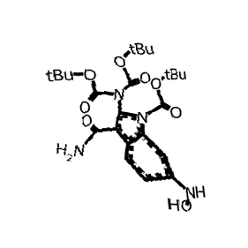 CC(C)(C)OC(=O)N(C(=O)OC(C)(C)C)c1c(C(N)=O)c2ccc(NO)cc2n1C(=O)OC(C)(C)C